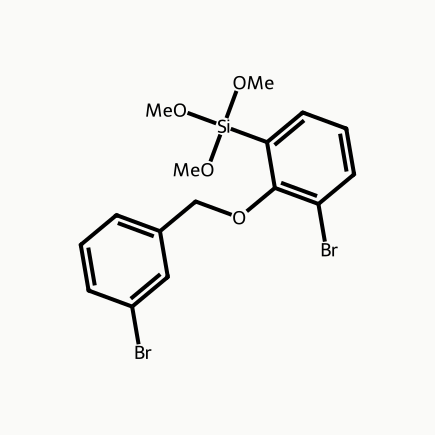 CO[Si](OC)(OC)c1cccc(Br)c1OCc1cccc(Br)c1